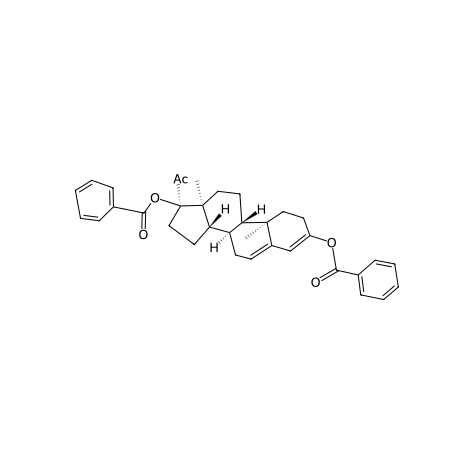 CC(=O)[C@@]1(OC(=O)c2ccccc2)CC[C@H]2[C@@H]3CC=C4C=C(OC(=O)c5ccccc5)CC[C@]4(C)[C@H]3CC[C@@]21C